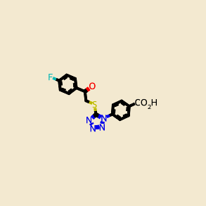 O=C(O)c1ccc(-n2nnnc2SCC(=O)c2ccc(F)cc2)cc1